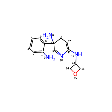 Nc1ccccc1C1(N)C=NC(NC2COC2)=CC1